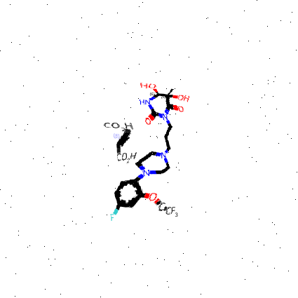 C[C@@]1(O)C(=O)N(CCCN2CCN(c3ccc(F)cc3OCC(F)(F)F)CC2)C(=O)N[C@H]1O.O=C(O)/C=C/C(=O)O